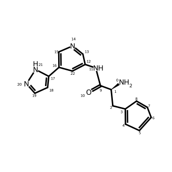 N[C@@H](Cc1ccccc1)C(=O)Nc1cncc(-c2ccn[nH]2)c1